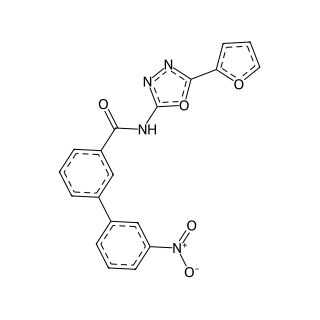 O=C(Nc1nnc(-c2ccco2)o1)c1cccc(-c2cccc([N+](=O)[O-])c2)c1